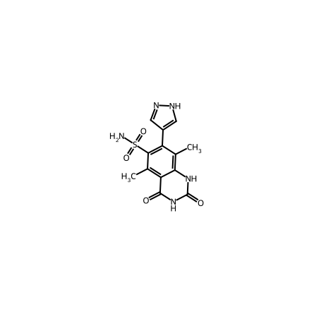 Cc1c(-c2cn[nH]c2)c(S(N)(=O)=O)c(C)c2c(=O)[nH]c(=O)[nH]c12